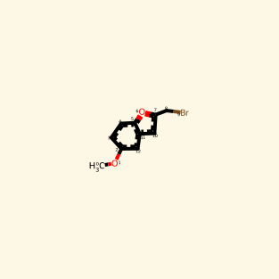 COc1ccc2oc(CBr)cc2c1